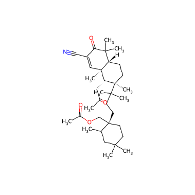 CC(=O)C[C@@H]1[C@@]2(C)C=C(C#N)C(=O)C(C)(C)[C@@H]2CC[C@@]1(C)C(C)(C)CC[C@@]1(COC(C)=O)CCC(C)(C)CC1C